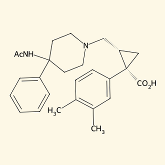 CC(=O)NC1(c2ccccc2)CCN(C[C@@H]2C[C@@]2(C(=O)O)c2ccc(C)c(C)c2)CC1